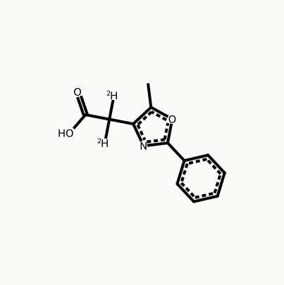 [2H]C([2H])(C(=O)O)c1nc(-c2ccccc2)oc1C